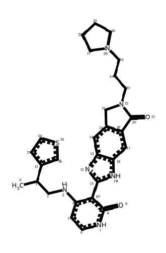 CC(CNc1cc[nH]c(=O)c1-c1nc2cc3c(cc2[nH]1)C(=O)N(CCCN1CCCC1)C3)c1ccsc1